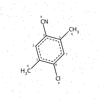 Cc1cc(C#N)c(C)cc1Cl